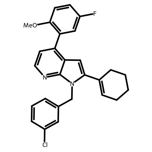 COc1ccc(F)cc1-c1ccnc2c1cc(C1=CCCCC1)n2Cc1cccc(Cl)c1